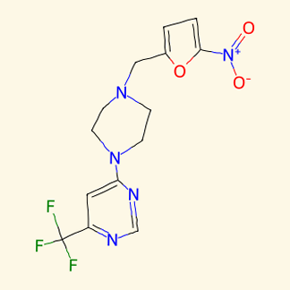 O=[N+]([O-])c1ccc(CN2CCN(c3cc(C(F)(F)F)ncn3)CC2)o1